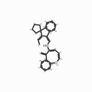 C=C1/C(N/C=C2\C(=C/C)C3(CCCC3)c3ccccc32)=C\C=C/Oc2ccccc21